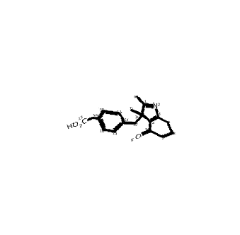 CC1=NC2=C(C(=O)CCC2)C1(C)Cc1ccc(C(=O)O)cc1